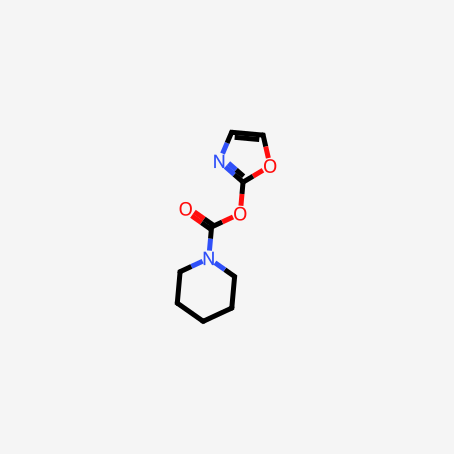 O=C(Oc1ncco1)N1CCCCC1